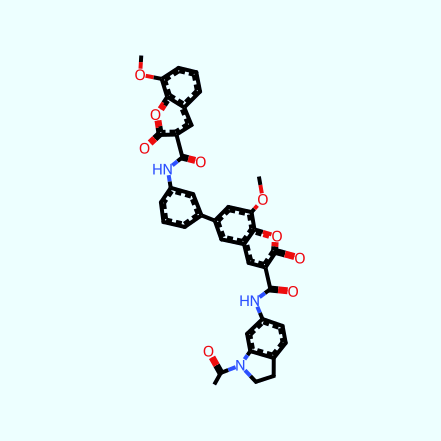 COc1cccc2cc(C(=O)Nc3cccc(-c4cc(OC)c5oc(=O)c(C(=O)Nc6ccc7c(c6)N(C(C)=O)CC7)cc5c4)c3)c(=O)oc12